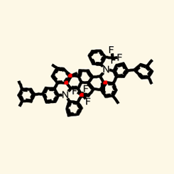 Cc1cc(C)cc(-c2ccc(N(C3=C4C=CC5=C6C(=CC=C(C=C3)C46)C(N(c3ccc(-c4cc(C)cc(C)c4)cc3-c3cccc(C)c3)c3ccccc3C(F)(F)F)C=C5)c3ccccc3C(F)(F)F)c(-c3cc(C)cc(C)c3)c2)c1